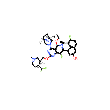 C#Cc1c(F)ccc2cc(O)cc(-c3nc(OCC)c4c(N5C[C@H]6CC[C@@H](C5)N6)nc(OC[C@]5(C)CN(C)CC[C@@H]5C(F)F)nc4c3F)c12